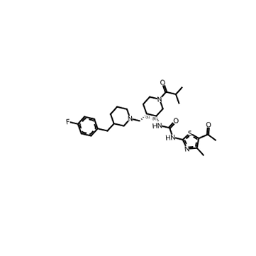 CC(=O)c1sc(NC(=O)N[C@H]2CN(C(=O)C(C)C)CC[C@H]2CN2CCCC(Cc3ccc(F)cc3)C2)nc1C